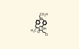 C[C@H](Cc1ccc(OCC(=O)O)cc1)N(C[C@H](O)c1cccc(Cl)c1)C(=O)CCCCl